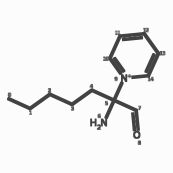 CCCCCC(N)(C=O)[n+]1ccccc1